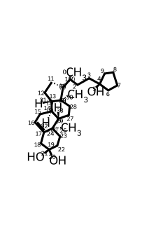 C[C@H](CCC1(O)CCCC1)[C@H]1CC[C@H]2[C@@H]3CC=C4CC(O)(O)CC[C@]4(C)[C@H]3CC[C@]12C